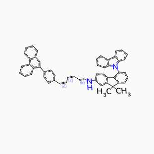 CC1(C)c2cc(N/C=C/C=C\C=C/c3ccc(-c4cc5ccccc5c5ccccc45)cc3)ccc2-c2c(-n3c4ccccc4c4ccccc43)cccc21